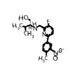 Cc1ccc(-c2ccc(F)c(CN[C@@H](CO)C(C)C)n2)cc1[N+](=O)[O-]